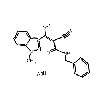 Cn1nc(C(O)=C(C#N)C(=O)NCc2ccccc2)c2ccccc21.[NaH]